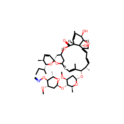 C=NO[C@H]1[C@H](C)O[C@@H](O[C@H]2[C@H](C)O[C@@H](O[C@@H]3/C(C)=C/C[C@@H]4C[C@@H](C[C@]5(C=C[C@H](C)[C@@H](C(C)CC)O5)O4)OC(=O)[C@@H]4C=C(C)[C@@H](O)[C@H]5OC/C(=C\C=C\[C@@H]3C)[C@]54O)C[C@@H]2OC)C[C@@H]1OC